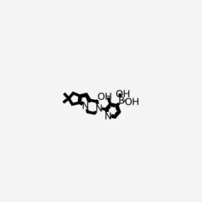 Cc1c(B(O)O)ccnc1N1CCn2c(cc3c2CC(C)(C)C3)C1O